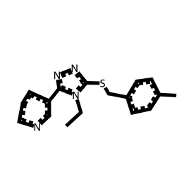 CCn1c(SCc2ccc(C)cc2)nnc1-c1cccnc1